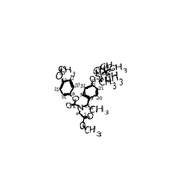 COC(=O)CN(C(=O)Oc1ccc(OC)cc1)[C@@H](C)c1ccc(O[Si](C)(C)C(C)(C)C)cc1